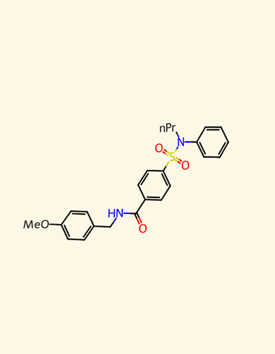 CCCN(c1ccccc1)S(=O)(=O)c1ccc(C(=O)NCc2ccc(OC)cc2)cc1